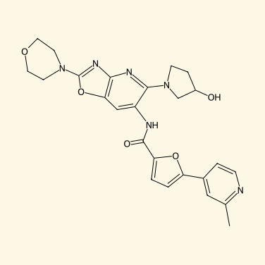 Cc1cc(-c2ccc(C(=O)Nc3cc4oc(N5CCOCC5)nc4nc3N3CCC(O)C3)o2)ccn1